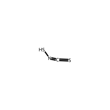 S=C=NS